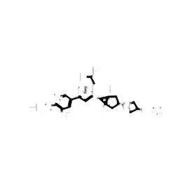 COC1CN([C@H]2C[C@@H]3[C@H](C2)[C@H]3c2cc(-c3cnc(N)c(C(F)(F)F)c3)nn2CC(F)F)C1